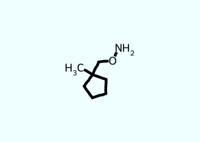 CC1(CON)CCCC1